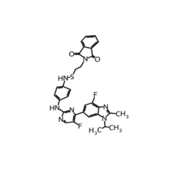 Cc1nc2c(F)cc(-c3nc(Nc4ccc(NSCCN5C(=O)c6ccccc6C5=O)cc4)ncc3F)cc2n1C(C)C